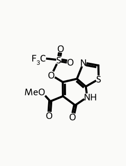 COC(=O)c1c(OS(=O)(=O)C(F)(F)F)c2ncsc2[nH]c1=O